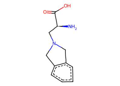 N[C@@H](CN1Cc2ccccc2C1)C(=O)O